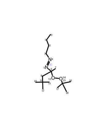 CCCC/N=N/C(C)(CC(C)(C)C)OOC(C)(C)C